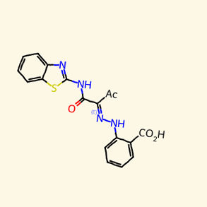 CC(=O)/C(=N\Nc1ccccc1C(=O)O)C(=O)Nc1nc2ccccc2s1